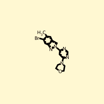 Cc1cc2cn(-c3cc(N4CCOCC4)ncn3)nc2cc1Br